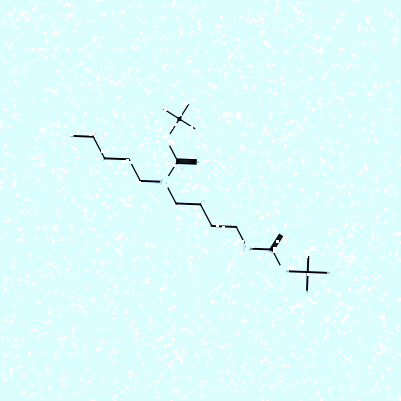 CC(C)(C)OC(=O)NCCCCN(CCCCN)C(=O)OC(C)(C)C